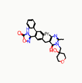 CCCc1nc(C)n(CC2(O)CCOCC2)c(=O)c1Cc1ccc(-c2ccccc2)c(-c2noc(=O)[nH]2)c1